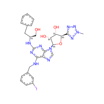 Cn1nnc([C@H]2O[C@@H](n3cnc4c(NCc5cccc(I)c5)nc(N[C@H](CO)Cc5ccccc5)nc43)[C@H](O)[C@@H]2O)n1